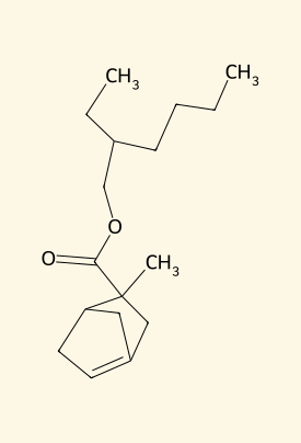 CCCCC(CC)COC(=O)C1(C)CC2=CCC1C2